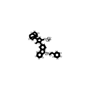 CC1=C(c2ccc3c(c2)-c2ccccc2[CH]3/[Zr+2]=[CH]/Cc2ccccc2)C(C)C=C1C12CC3CC(CC(C3)C1)C2.[Cl-].[Cl-]